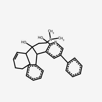 CN(C)CCC(O)(C1C=CCCC1)C(c1ccccc1)c1cc(-c2ccccc2)cnc1O